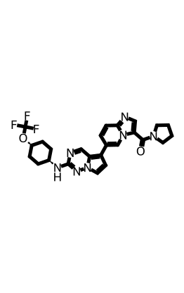 O=C(c1cnc2ccc(-c3ccn4nc(N[C@H]5CC[C@@H](OC(F)(F)F)CC5)ncc34)cn12)N1CCCC1